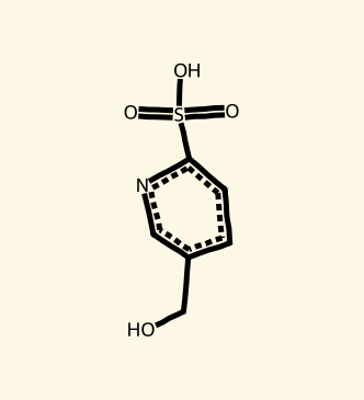 O=S(=O)(O)c1ccc(CO)cn1